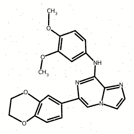 COc1ccc(Nc2nc(-c3ccc4c(c3)OCCO4)cn3ccnc23)cc1OC